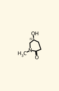 CN1C[C@@H](O)CCC1=O